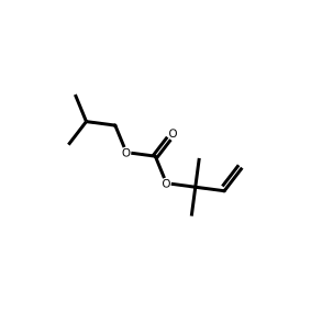 C=CC(C)(C)OC(=O)OCC(C)C